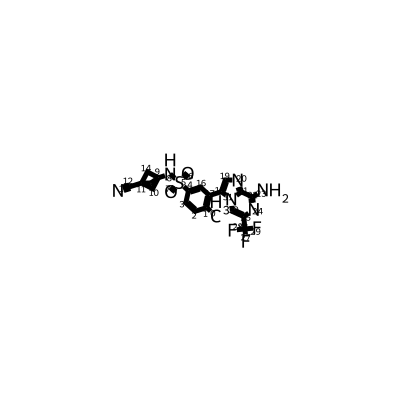 Cc1ccc(S(=O)(=O)NC23CC(C#N)(C2)C3)cc1-c1cnc2c(N)nc(C(F)(F)F)cn12